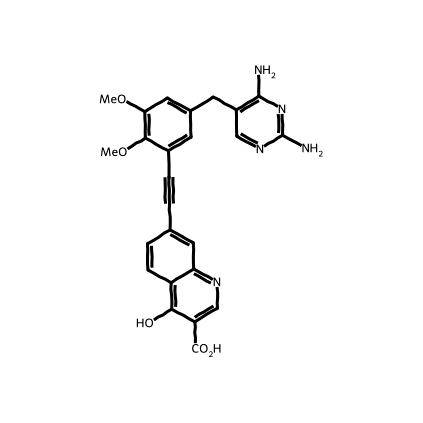 COc1cc(Cc2cnc(N)nc2N)cc(C#Cc2ccc3c(O)c(C(=O)O)cnc3c2)c1OC